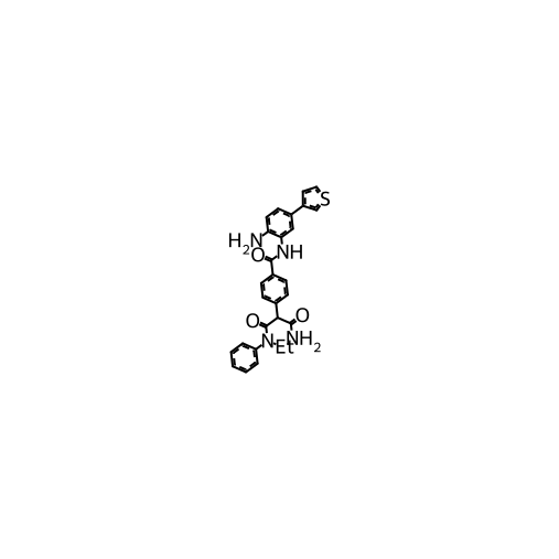 CCN(C(=O)C(C(N)=O)c1ccc(C(=O)Nc2cc(-c3ccsc3)ccc2N)cc1)c1ccccc1